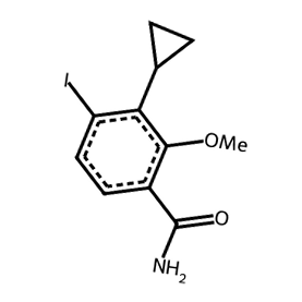 COc1c(C(N)=O)ccc(I)c1C1CC1